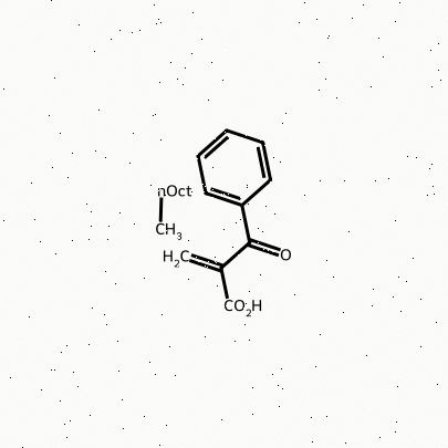 C=C(C(=O)O)C(=O)c1ccccc1.CCCCCCCCC